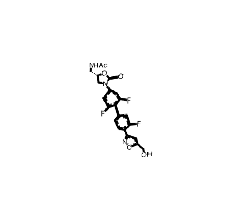 CC(=O)NC[C@H]1CN(c2cc(F)c(-c3ccc(-c4cc(CO)on4)c(F)c3)c(F)c2)C(=O)O1